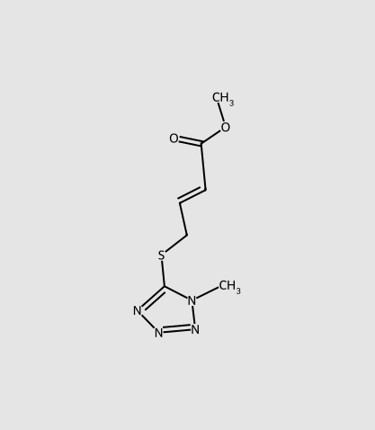 COC(=O)C=CCSc1nnnn1C